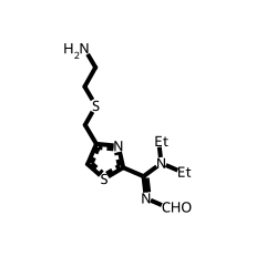 CCN(CC)C(=NC=O)c1nc(CSCCN)cs1